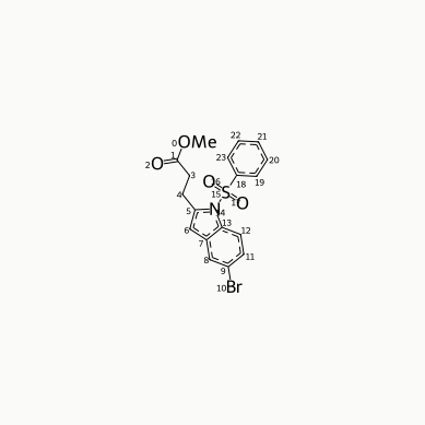 COC(=O)CCc1cc2cc(Br)ccc2n1S(=O)(=O)c1ccccc1